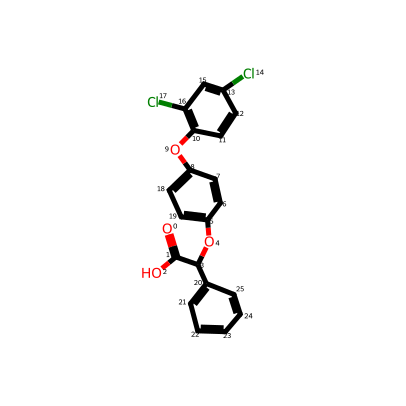 O=C(O)C(Oc1ccc(Oc2ccc(Cl)cc2Cl)cc1)c1ccccc1